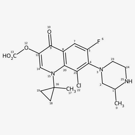 CC1CN(c2c(F)cc3c(=O)c(OC(=O)O)cn(C4(C)CC4)c3c2Cl)CCN1